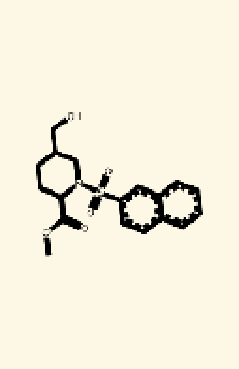 COC(=O)C1CCC(CO)CN1S(=O)(=O)c1ccc2ccccc2c1